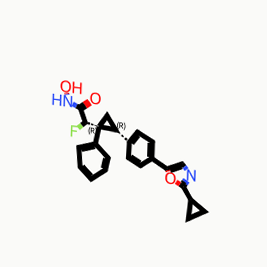 O=C(NO)C(F)[C@]1(c2ccccc2)C[C@@H]1c1ccc(-c2cnc(C3CC3)o2)cc1